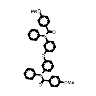 COc1ccc(C(=O)N(c2ccccc2)c2cccc(Oc3cccc(N(C(=O)c4ccc(OC)cc4)c4ccccc4)c3)c2)cc1